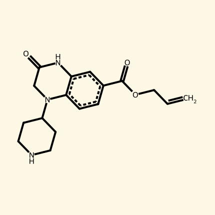 C=CCOC(=O)c1ccc2c(c1)NC(=O)CN2C1CCNCC1